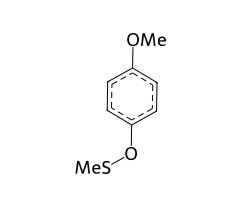 COc1ccc(OSC)cc1